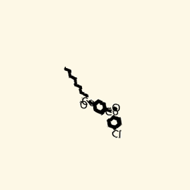 CCCCCCC[CH2][Co](=[O])[c]1cc[c]([Co](=[O])[c]2ccc(Cl)cc2)cc1